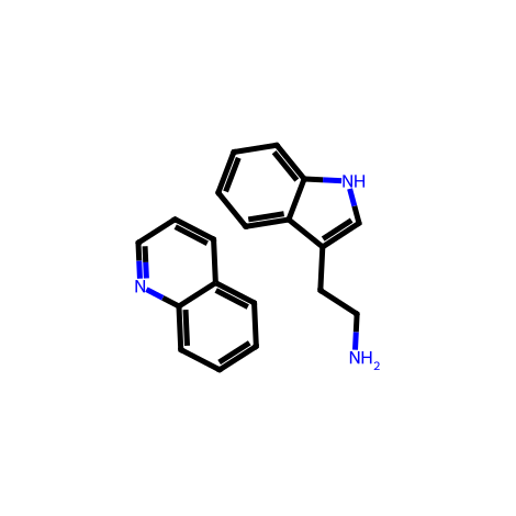 NCCc1c[nH]c2ccccc12.c1ccc2ncccc2c1